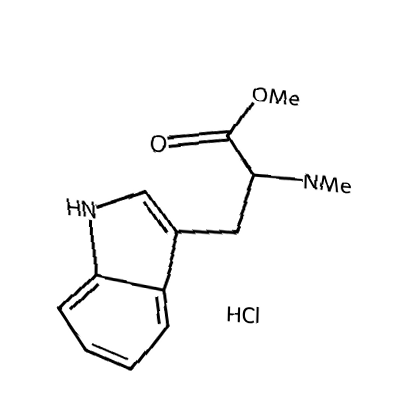 CNC(Cc1c[nH]c2ccccc12)C(=O)OC.Cl